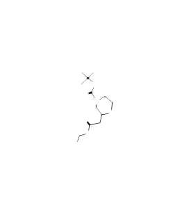 CCOC(=O)CC1CN(C(=O)OC(C)(C)C)CCO1